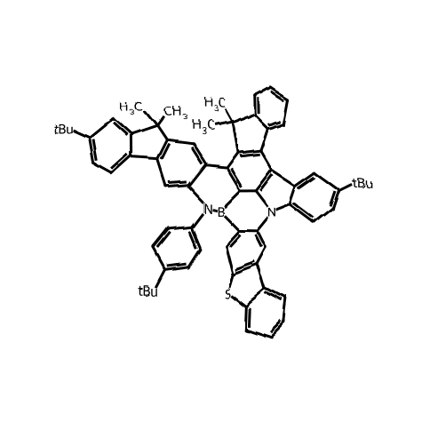 CC(C)(C)c1ccc(N2B3c4cc5sc6ccccc6c5cc4-n4c5ccc(C(C)(C)C)cc5c5c6c(c(c3c54)-c3cc4c(cc32)-c2ccc(C(C)(C)C)cc2C4(C)C)C(C)(C)c2ccccc2-6)cc1